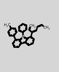 C=C/C(=C\C=C/C)c1cccc2c3cccc(-c4ccc(C)cc4)c3n(-c3ccccc3)c12